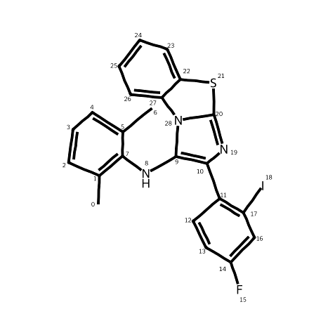 Cc1cccc(C)c1Nc1c(-c2ccc(F)cc2I)nc2sc3ccccc3n12